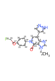 CCn1cnc2c(-c3cn[nH]c3)cn(-c3ccc(OCF)cc3)c(=O)c21